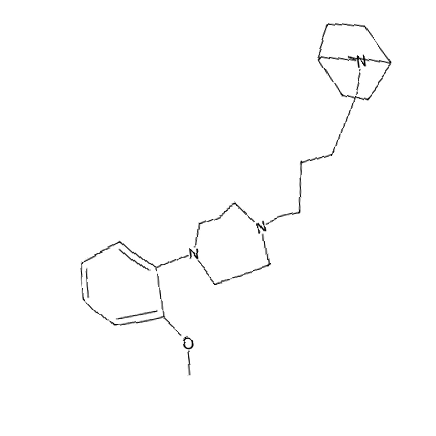 COc1ccccc1N1CCN(CCCN2CC3CCC(CC3)C2)CC1